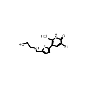 CCc1cc(-c2ccc(CNCCO)s2)c(C)[nH]c1=O.Cl